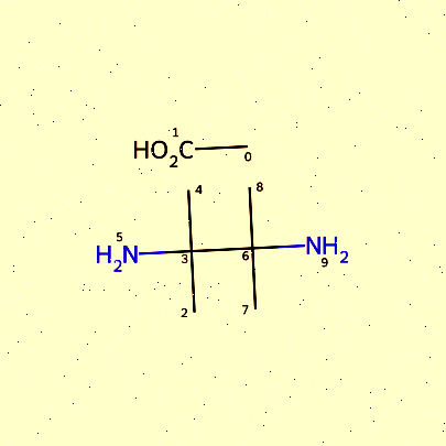 CC(=O)O.CC(C)(N)C(C)(C)N